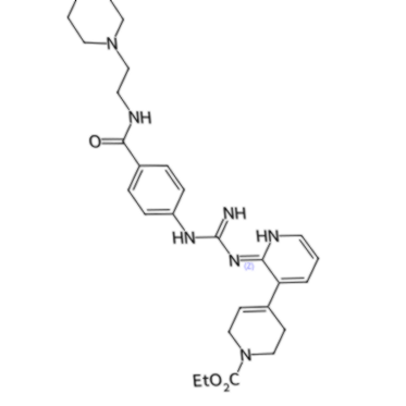 CCOC(=O)N1CC=C(c2ccc[nH]/c2=N\C(=N)Nc2ccc(C(=O)NCCN3CCCCC3)cc2)CC1